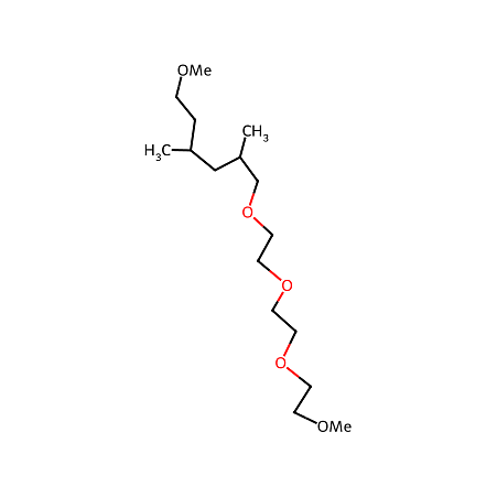 COCCOCCOCCOCC(C)CC(C)CCOC